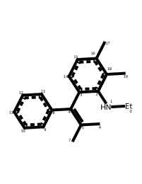 CCNc1c(C(=C(C)C)c2ccccc2)ccc(C)c1C